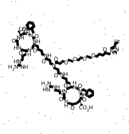 N=C(N)NCCC[C@@H]1NC(=O)C(CCCCNC(=O)CCN(CCC(=O)NCCCC[C@@H]2NC(=O)N(Cc3ccccc3)NC(=O)[C@H](CC(=O)O)CC(=O)CNC(=O)[C@H](CCCNC(=N)N)NC2=O)C(=O)CCOCCOCCOCCOCCCC(=O)Cn2cc(C[18F])nn2)NC(=O)N(Cc2ccccc2)NC(=O)[C@H](CC(=O)O)NC(=O)CNC1=O